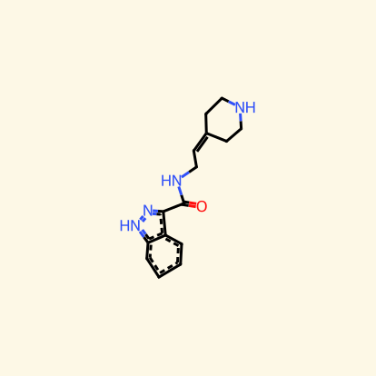 O=C(NCC=C1CCNCC1)c1n[nH]c2ccccc12